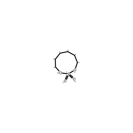 O=S1(=O)OCCCCCCO1